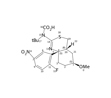 CO[C@H]1CC[C@]2(c3cc([N+](=O)[O-])ccc3F)N=C(N(C(=O)O)C(C)(C)C)SC[C@@H]2C1